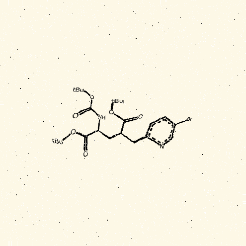 CC(C)(C)OC(=O)N[C@@H](CC(Cc1ccc(Br)cn1)C(=O)OC(C)(C)C)C(=O)OC(C)(C)C